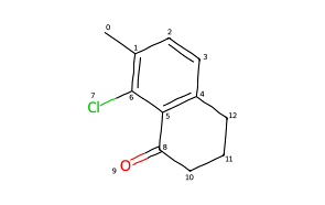 Cc1ccc2c(c1Cl)C(=O)CCC2